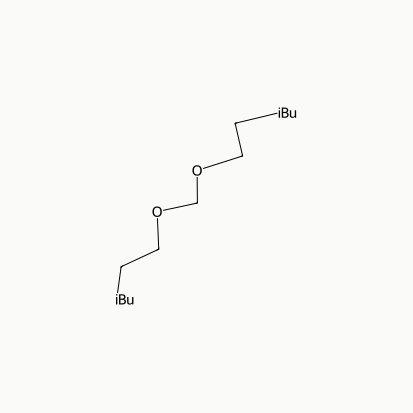 CCC(C)CCOCOCCC(C)CC